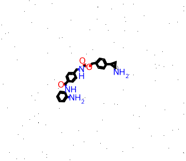 Nc1ccccc1NC(=O)c1ccc(CNC(=O)OCc2ccc(C3C[C@@H]3N)cc2)cc1